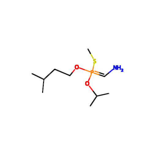 CSP(=CN)(OCCC(C)C)OC(C)C